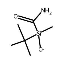 CC(C)(C)[Si](C)([O])C(N)=O